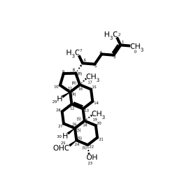 CC(C)=CCCC(C)[C@H]1CC[C@H]2C3=C(CC[C@]12C)[C@@]1(C)CC[C@H](O)[C@@H](C=O)[C@@H]1CC3